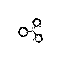 c1ccc([SiH](c2ccco2)c2ccco2)cc1